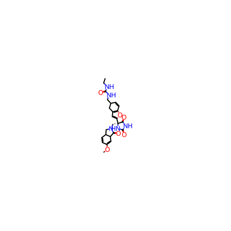 CCNC(=O)NCC1C=Cc2oc([C@]3(CN4CC5C=CC(OC)=CC5C4=O)NC(=O)NC3=O)cc2C1